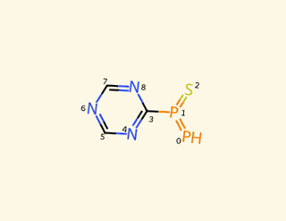 P=P(=S)c1ncncn1